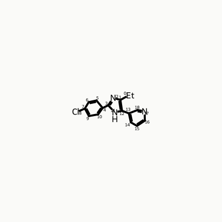 CCc1nc(-c2ccc(Cl)cc2)[nH]c1-c1cccnc1